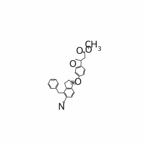 COC(=O)CC1COc2cc(O[C@@H]3CCc4c3ccc(C#N)c4Cc3ccccc3)ccc21